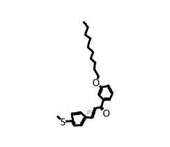 CCCCCCCCCCOc1cccc(C(=O)/C=C/c2ccc(SC)cc2)c1